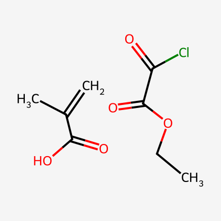 C=C(C)C(=O)O.CCOC(=O)C(=O)Cl